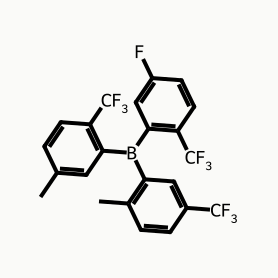 Cc1ccc(C(F)(F)F)c(B(c2cc(C(F)(F)F)ccc2C)c2cc(F)ccc2C(F)(F)F)c1